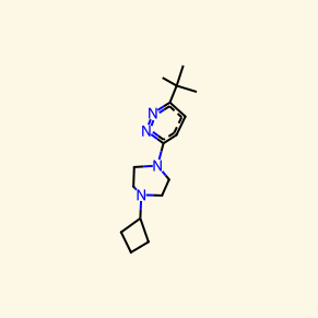 CC(C)(C)c1ccc(N2CCN(C3CCC3)CC2)nn1